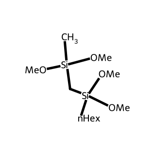 CCCCCC[Si](C[Si](C)(OC)OC)(OC)OC